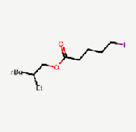 CCCCC(CC)COC(=O)CCCCI